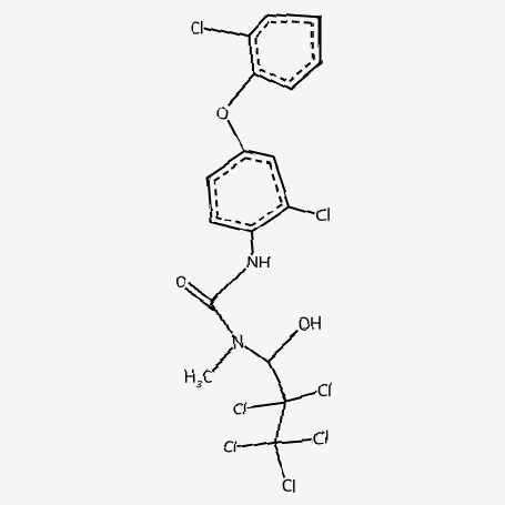 CN(C(=O)Nc1ccc(Oc2ccccc2Cl)cc1Cl)C(O)C(Cl)(Cl)C(Cl)(Cl)Cl